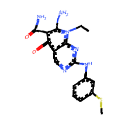 CCn1c(N)c(C(N)=O)c(=O)c2cnc(Nc3cccc(SC)c3)nc21